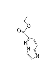 CCOC(=O)c1ccc2nccn2n1